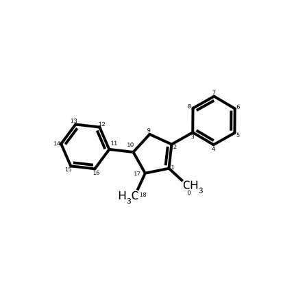 CC1=C(c2ccccc2)CC(c2ccccc2)C1C